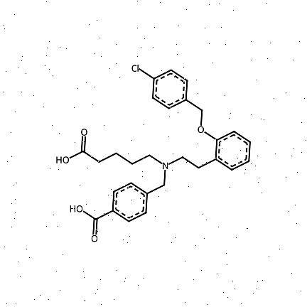 O=C(O)CCCCN(CCc1ccccc1OCc1ccc(Cl)cc1)Cc1ccc(C(=O)O)cc1